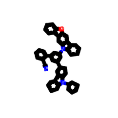 N#Cc1ccccc1-c1cc(-c2ccc3c(c2)c2ccccc2n3-c2ccccc2)cc(-n2c3ccccc3c3cc4oc5ccccc5c4cc32)c1